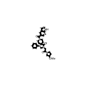 COC1CCN(C(=O)CN2CN(c3ccccc3)C3(CCN(C(=O)c4cnc5[nH]ncc5c4)CC3)C2=O)C1